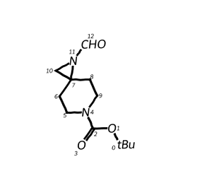 CC(C)(C)OC(=O)N1CCC2(CC1)CN2C=O